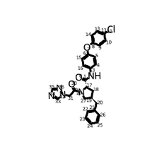 O=C(Nc1ccc(Oc2ccc(Cl)cc2)cc1)[C@@H]1C[C@@H](Cc2ccccc2)CN1C(=O)Cn1cncn1